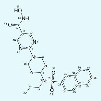 CCCN(C1CCN(c2ncc(C(=O)NO)cn2)CC1)S(=O)(=O)c1ccc2ccccc2c1